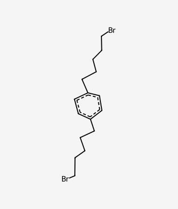 BrCCCCCc1ccc(CCCCCBr)cc1